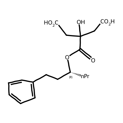 CCC[C@H](CCc1ccccc1)OC(=O)C(O)(CC(=O)O)CC(=O)O